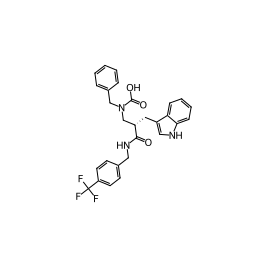 O=C(NCc1ccc(C(F)(F)F)cc1)[C@@H](Cc1c[nH]c2ccccc12)CN(Cc1ccccc1)C(=O)O